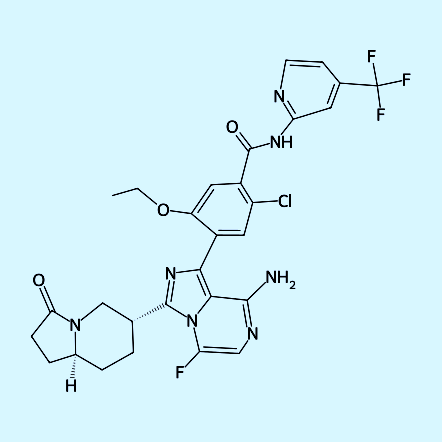 CCOc1cc(C(=O)Nc2cc(C(F)(F)F)ccn2)c(Cl)cc1-c1nc([C@@H]2CC[C@H]3CCC(=O)N3C2)n2c(F)cnc(N)c12